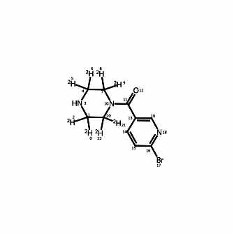 [2H]C1([2H])NC([2H])([2H])C([2H])([2H])N(C(=O)c2ccc(Br)nc2)C1([2H])[2H]